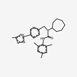 Cc1cc(C)c(NC(=O)N(Cc2ccc(-c3nnc(C)[nH]3)cc2)C2CCCCCC2)c(C)c1